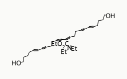 CCOC(=O)N(CC)CC.OCCCCC#CC#CCCC#CC#CCCC#CC#CCCCCO